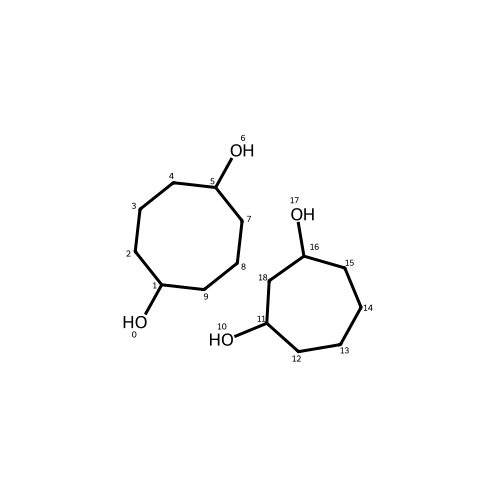 OC1CCCC(O)CCC1.OC1CCCCC(O)C1